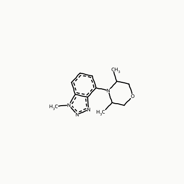 CC1COCC(C)N1c1cccc2c1nnn2C